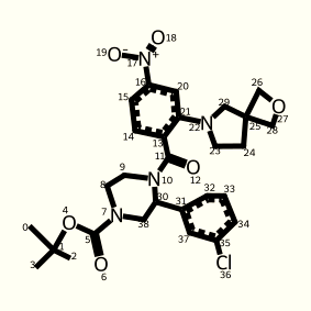 CC(C)(C)OC(=O)N1CCN(C(=O)c2ccc([N+](=O)[O-])cc2N2CCC3(COC3)C2)C(c2cccc(Cl)c2)C1